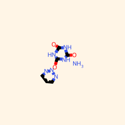 N.O=c1[nH]c(=O)[nH]c(=O)[nH]1.c1cnnnc1